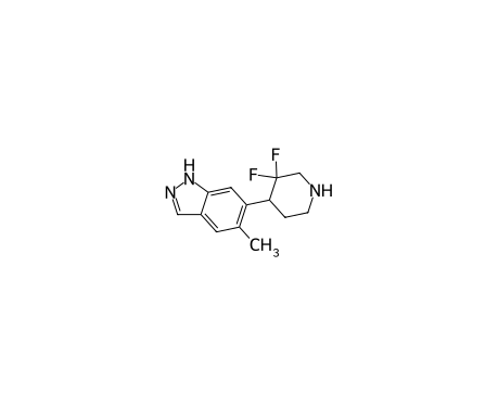 Cc1cc2cn[nH]c2cc1C1CCNCC1(F)F